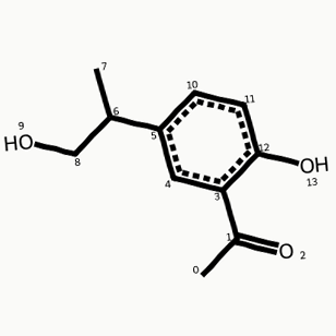 CC(=O)c1cc(C(C)CO)ccc1O